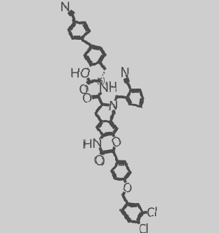 N#Cc1ccc(-c2ccc(C[C@H](NC(=O)C3Cc4cc5c(cc4CN3Cc3ccccc3C#N)OC(c3ccc(OCc4ccc(Cl)c(Cl)c4)cc3)C(=O)N5)C(=O)O)cc2)cc1